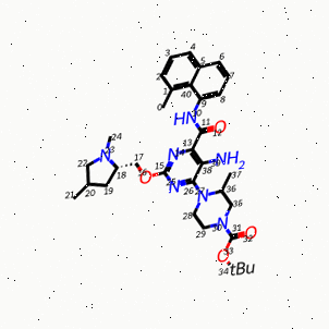 Cc1cccc2cccc(NC(=O)c3nc(OC[C@@H]4CC(C)CN4C)nc(N4CCN(C(=O)OC(C)(C)C)CC4C)c3N)c12